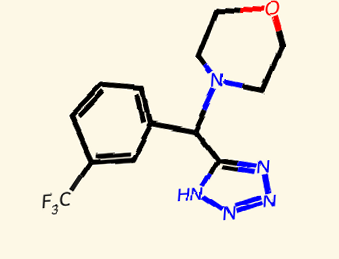 FC(F)(F)c1cccc(C(c2nnn[nH]2)N2CCOCC2)c1